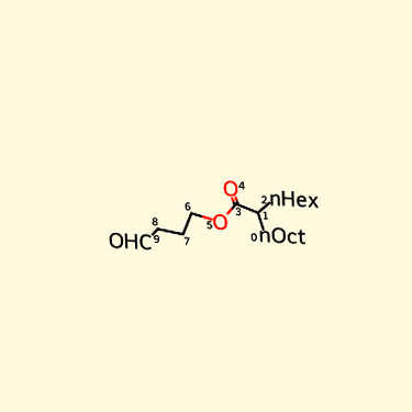 CCCCCCCCC(CCCCCC)C(=O)OCCCC=O